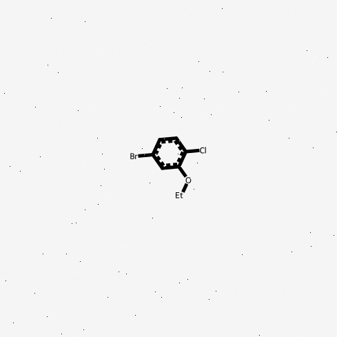 CCOc1cc(Br)ccc1Cl